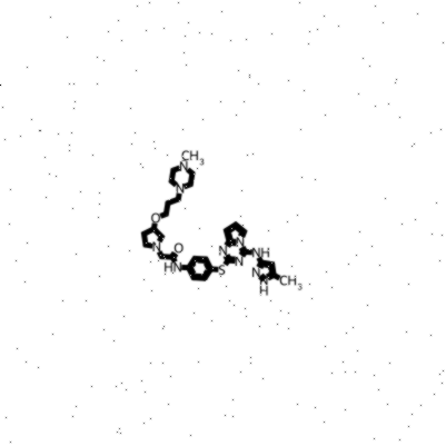 Cc1cc(Nc2nc(Sc3ccc(NC(=O)CN4CCC(OCCCN5CCN(C)CC5)C4)cc3)nc3cccn23)n[nH]1